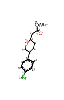 COC(=O)CC1CCC(c2ccc(Br)cc2)CO1